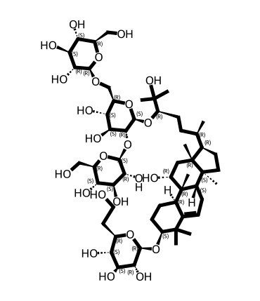 C[C@H](CC[C@@H](O[C@@H]1O[C@H](CO[C@@H]2O[C@H](CO)[C@@H](O)[C@H](O)[C@H]2O)[C@@H](O)[C@H](O)[C@H]1O[C@@H]1O[C@H](CO)[C@@H](O)[C@H](O)[C@H]1O)C(C)(C)O)[C@H]1CC[C@@]2(C)[C@@H]3CC=C4[C@@H](CC[C@H](O[C@@H]5O[C@H](CCO)[C@@H](O)[C@H](O)[C@H]5O)C4(C)C)[C@]3(C)[C@H](O)C[C@]12C